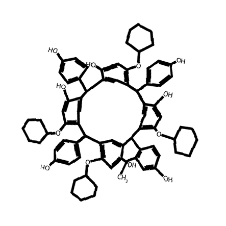 CCc1cc(O)ccc1C1c2cc(c(OC3CCCCC3)cc2O)C(c2ccc(O)cc2)c2cc(c(O)cc2OC2CCCCC2)C(c2ccc(O)cc2)c2cc(c(OC3CCCCC3)cc2O)C(c2ccc(O)cc2)c2cc1c(OC1CCCCC1)cc2O